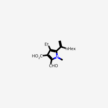 C=C(CCCCCC)c1c(CC)c(C(=O)O)c(C=O)n1C